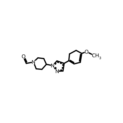 COC1=CC=C(c2cnn(C3CCN(C=O)CC3)c2)CC1